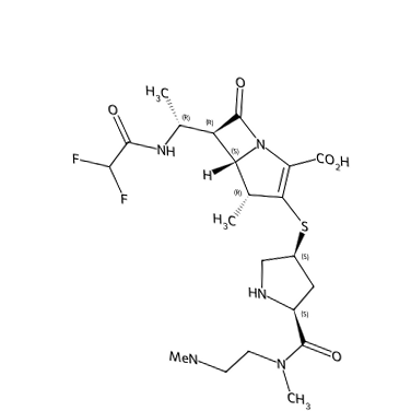 CNCCN(C)C(=O)[C@@H]1C[C@H](SC2=C(C(=O)O)N3C(=O)[C@H]([C@@H](C)NC(=O)C(F)F)[C@H]3[C@H]2C)CN1